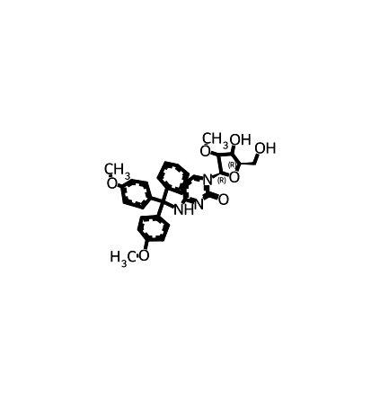 COc1ccc(C(Nc2ccn([C@@H]3O[C@H](CO)C(O)C3OC)c(=O)n2)(c2ccccc2)c2ccc(OC)cc2)cc1